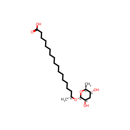 C[C@H](CCCCCCCCCCCCCCCC(=O)O)O[C@@H]1O[C@@H](C)[C@H](O)C[C@H]1O